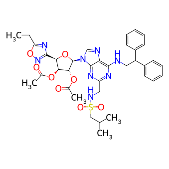 CCc1nc([C@H]2O[C@@H](n3cnc4c(NCC(c5ccccc5)c5ccccc5)nc(CNS(=O)(=O)CC(C)C)nc43)[C@H](OC(C)=O)[C@H]2OC(C)=O)no1